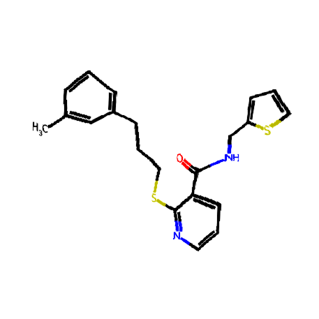 Cc1cccc(CCCSc2ncccc2C(=O)NCc2cccs2)c1